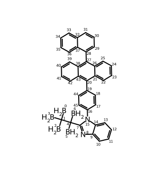 BC(B)(B)C(B)(B)c1nc2ccccc2n1-c1ccc(-c2c3ccccc3c(-c3cccc4ccccc34)c3ccccc23)cc1